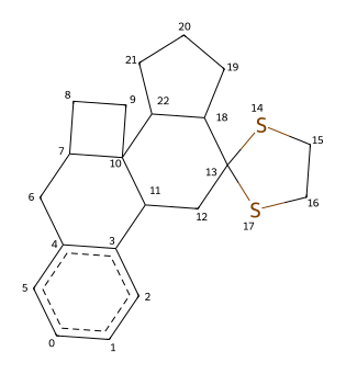 c1ccc2c(c1)CC1CCC13C2CC1(SCCS1)C1CCCC13